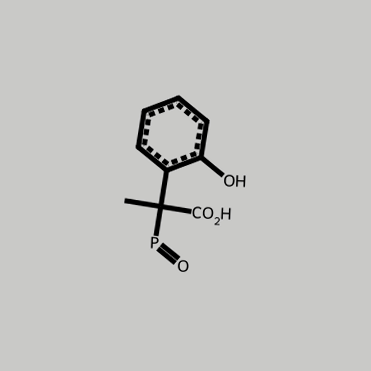 CC(P=O)(C(=O)O)c1ccccc1O